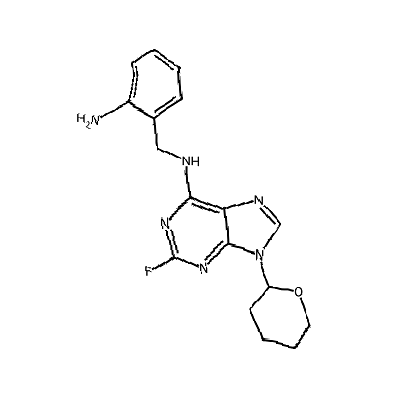 Nc1ccccc1CNc1nc(F)nc2c1ncn2C1CCCCO1